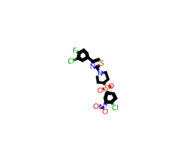 O=[N+]([O-])c1cc(S(=O)(=O)C2CCN(c3nc(-c4ccc(F)c(Cl)c4)cs3)CC2)ccc1Cl